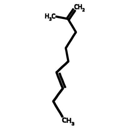 C=C(C)CCCC=CCC